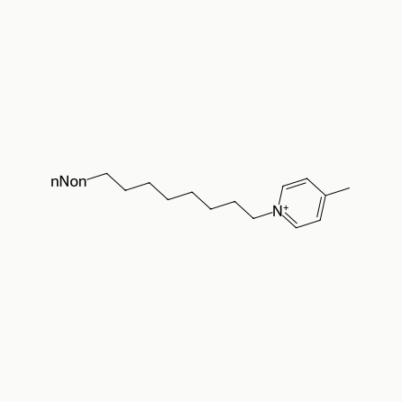 CCCCCCCCCCCCCCCCC[n+]1ccc(C)cc1